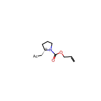 C=CCOC(=O)N1CCC[C@H]1CC(C)=O